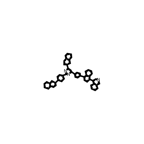 c1ccc2cc(-c3ccc(-c4nc(-c5ccc(-c6ccc(-c7cncc8ccccc78)c7ccccc67)cc5)cc(-c5ccc6ccccc6c5)n4)cc3)ccc2c1